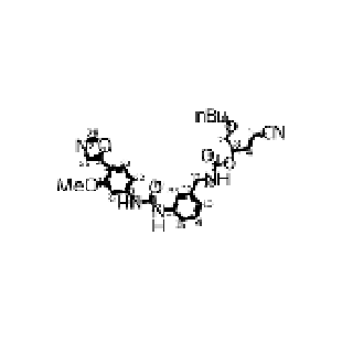 CCCCOC[C@@H](CCC#N)OC(=O)NCc1cccc(NC(=O)Nc2ccc(-c3cnco3)c(OC)c2)c1